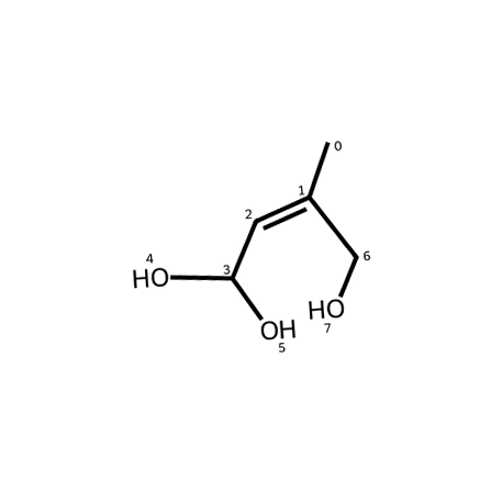 CC(=CC(O)O)CO